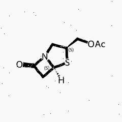 CC(=O)OC[C@@H]1CN2C(=O)C[C@@H]2S1